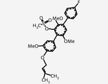 COc1cc(-c2c(OC)cc(-c3ccc(F)cc3)c(OC)c2OS(C)(=O)=O)ccc1OCC=C(C)C